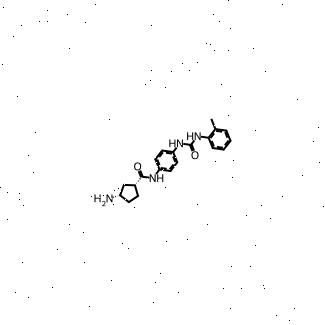 Cc1ccccc1NC(=O)Nc1ccc(NC(=O)[C@@H]2CC[C@H](N)C2)cc1